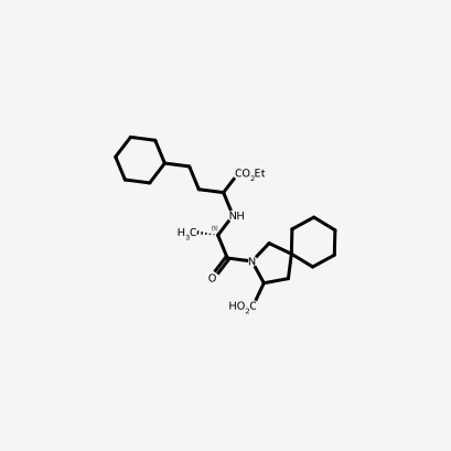 CCOC(=O)C(CCC1CCCCC1)N[C@@H](C)C(=O)N1CC2(CCCCC2)CC1C(=O)O